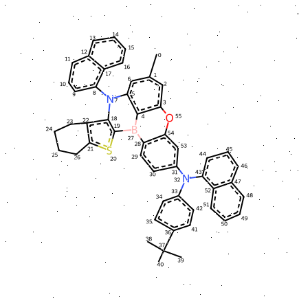 Cc1cc2c3c(c1)N(c1cccc4ccccc14)c1c(sc4c1CCCC4)B3c1ccc(N(c3ccc(C(C)(C)C)cc3)c3cccc4ccccc34)cc1O2